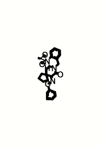 CS(=O)(=O)Nc1ccccc1CN1CCC2(CCCC2)/C(=N\Oc2ccccc2)C1=O